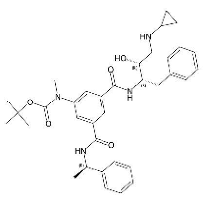 C[C@@H](NC(=O)c1cc(C(=O)N[C@@H](Cc2ccccc2)[C@H](O)CNC2CC2)cc(N(C)C(=O)OC(C)(C)C)c1)c1ccccc1